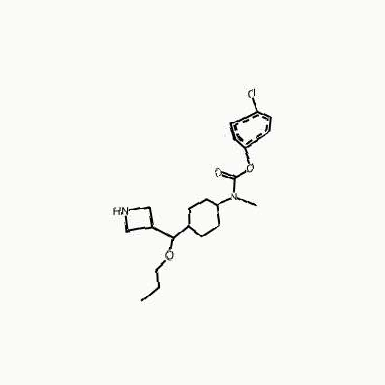 CCCOC(C1CCC(N(C)C(=O)Oc2ccc(Cl)cc2)CC1)C1CNC1